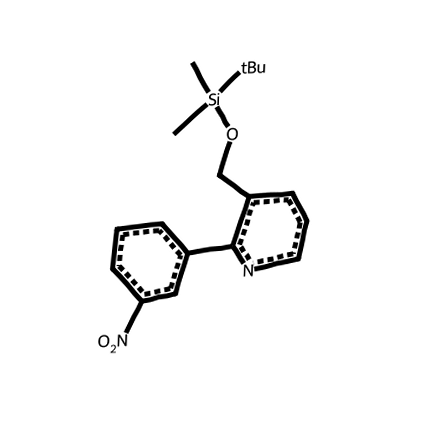 CC(C)(C)[Si](C)(C)OCc1cccnc1-c1cccc([N+](=O)[O-])c1